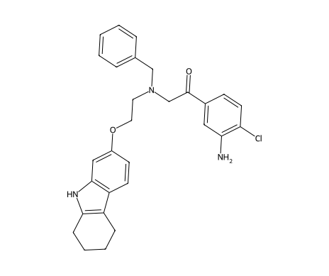 Nc1cc(C(=O)CN(CCOc2ccc3c4c([nH]c3c2)CCCC4)Cc2ccccc2)ccc1Cl